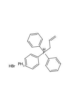 Br.C=CC[PH](c1ccccc1)(c1ccccc1)c1ccccc1.P